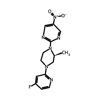 C[C@H]1CN(c2cc(F)ccn2)CCN1c1ncc([N+](=O)[O-])cn1